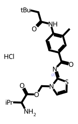 Cc1cc(C(=O)/N=c2\sccn2COC(=O)C(N)C(C)C)ccc1NC(=O)CC(C)(C)C.Cl